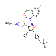 CCC(C)(C)CC1CC(c2onc(C3CN(CC(=O)O)CC3C(=O)Nc3ccc(C)cc3Cl)c2C2CC2)C1